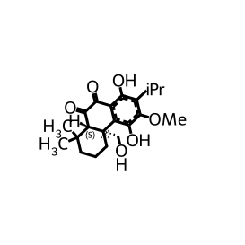 COc1c(O)c2c(c(O)c1C(C)C)C(=O)C(=O)[C@H]1C(C)(C)CCC[C@]21CO